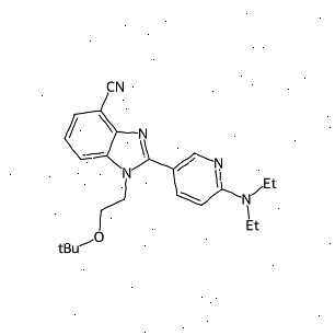 CCN(CC)c1ccc(-c2nc3c(C#N)cccc3n2CCOC(C)(C)C)cn1